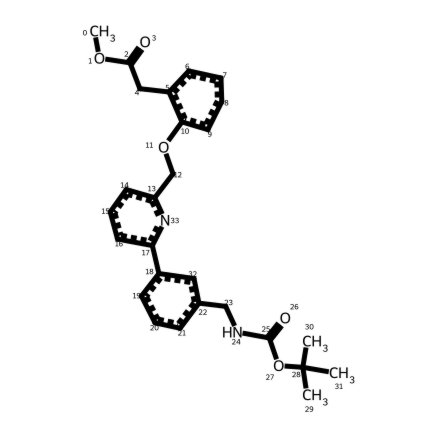 COC(=O)Cc1ccccc1OCc1cccc(-c2cccc(CNC(=O)OC(C)(C)C)c2)n1